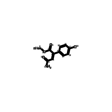 CCCCCCOC(=O)/C(=C\C(N)=O)c1ccc(Cl)cc1